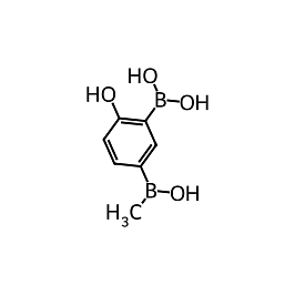 CB(O)c1ccc(O)c(B(O)O)c1